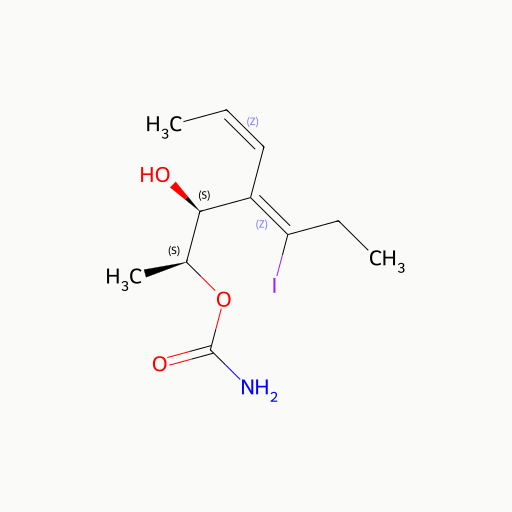 C/C=C\C(=C(\I)CC)[C@H](O)[C@H](C)OC(N)=O